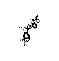 C=CC(=O)Nc1cccc(-n2cc(-c3ccc4c(c3)CCNC4=O)c([N+](=O)[O-])n2)c1C